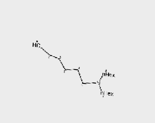 CCCCCCN(CCCCCC)CCCCCO